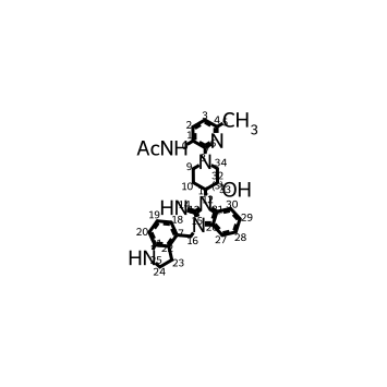 CC(=O)Nc1ccc(C)nc1N1CCC(n2c(=N)n(Cc3cccc4c3CCN4)c3ccccc32)[C@@H](O)C1